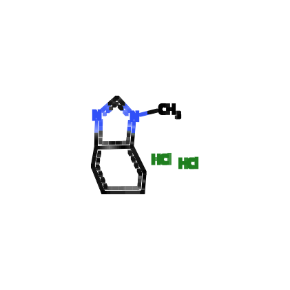 Cl.Cl.Cn1cnc2ccccc21